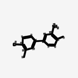 Cc1ccc(-c2ccc(Cl)c(C)c2)cc1N